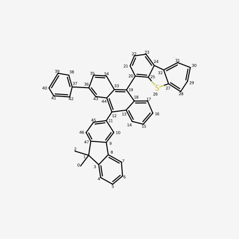 CC1(C)c2ccccc2-c2cc(-c3c4ccccc4c(-c4cccc5c4sc4ccccc45)c4ccc(-c5ccccc5)cc34)ccc21